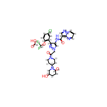 O=C(Nc1cn(CC(=O)N2CCC(N3CC(O)CCC3=O)CC2)nc1-c1cc(Cl)ccc1OC(F)F)c1cnn2cccnc12.O=CO